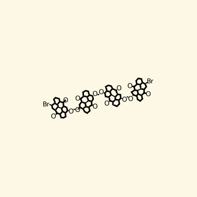 O=c1c2cc(OCOc3cc4c5c6c3cccc6c(=O)c3cc(OCOc6cc7c8c9c6cccc9c(=O)c6cc(OCOc9cc%10c%11c%12c9cccc%12c(=O)c9cc(Br)c%12cccc(c%10=O)c%12c9-%11)c9cccc(c7=O)c9c6-8)c6cccc(c4=O)c6c3-5)c3cccc4c(=O)c5cc(Br)c6cccc1c6c5-c2c34